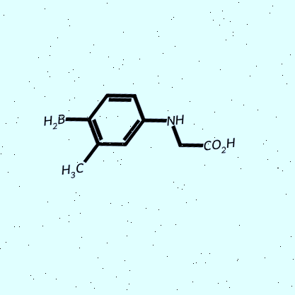 Bc1ccc(NCC(=O)O)cc1C